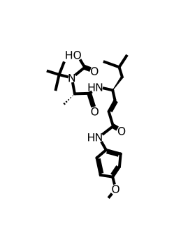 COc1ccc(NC(=O)/C=C/[C@H](CC(C)C)NC(=O)[C@H](C)N(C(=O)O)C(C)(C)C)cc1